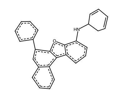 C1=CCC(Nc2cccc3c2oc2c(-c4ccccc4)cc4ccccc4c23)C=C1